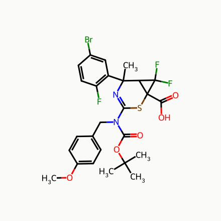 COc1ccc(CN(C(=O)OC(C)(C)C)C2=NC(C)(c3cc(Br)ccc3F)C3C(F)(F)C3(C(=O)O)S2)cc1